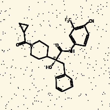 N#Cc1ccc(NC(=O)[C@@](O)(Cc2ccccc2)C2CCN(C(=O)C3CC3)CC2)cc1C(F)(F)F